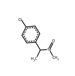 CC(c1ccc(Cl)cc1)[Te](C)=O